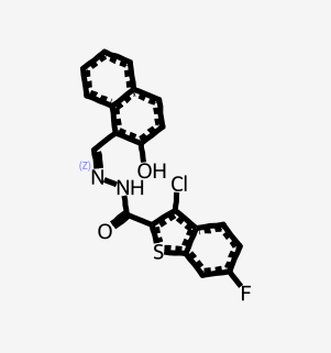 O=C(N/N=C\c1c(O)ccc2ccccc12)c1sc2cc(F)ccc2c1Cl